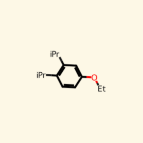 [CH2]C(C)c1cc(OCC)ccc1C(C)C